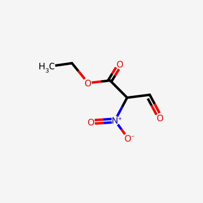 CCOC(=O)C(C=O)[N+](=O)[O-]